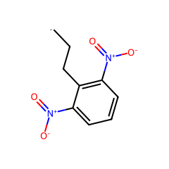 [CH2]CCc1c([N+](=O)[O-])cccc1[N+](=O)[O-]